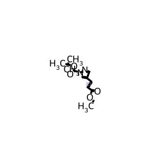 CCOC(=O)/C=C/c1cnn(C(=O)OC(C)(C)C)c1